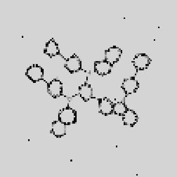 c1ccc(-c2ccc(N(c3cc(-c4ccc5c6ccccc6n(-c6ccc(-c7ccccc7)cc6)c5c4)cc(N(c4ccc(-c5ccccc5)cc4)c4ccc5ccccc5c4)c3)c3ccc4ccccc4c3)cc2)cc1